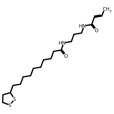 CC=CC(=O)NCCCNC(=O)CCCCCCCCCC1CCSS1